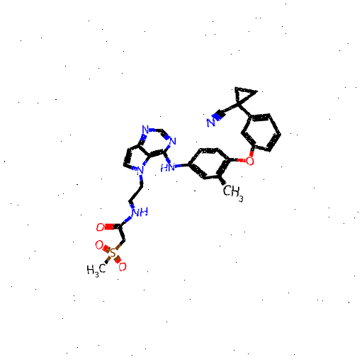 Cc1cc(Nc2ncnc3ccn(CCNC(=O)CS(C)(=O)=O)c23)ccc1Oc1cccc(C2(C#N)CC2)c1